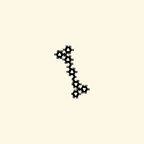 C(=C\c1ccc(N(c2ccccc2)c2ccccc2)cc1)/c1ccc(/C=C/c2ccc(N(c3ccccc3)c3ccccc3)cc2)cc1